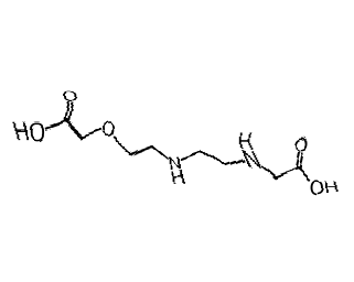 O=C(O)CNCCNCCOCC(=O)O